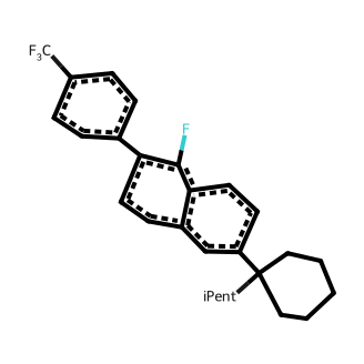 CCCC(C)C1(c2ccc3c(F)c(-c4ccc(C(F)(F)F)cc4)ccc3c2)CCCCC1